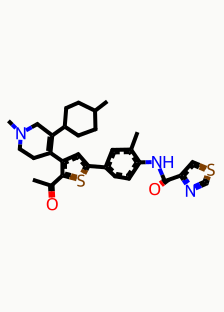 CC(=O)c1sc(-c2ccc(NC(=O)c3cscn3)c(C)c2)cc1C1=C(C2CCC(C)CC2)CN(C)CC1